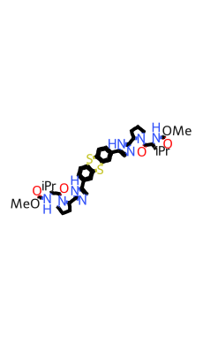 COC(=O)NC(C(=O)N1CCCC1c1ncc(-c2ccc3c(c2)Sc2cc(-c4cnc(C5CCCN5C(=O)C(NC(=O)OC)C(C)C)[nH]4)ccc2S3)[nH]1)C(C)C